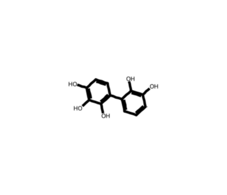 Oc1[c]ccc(-c2ccc(O)c(O)c2O)c1O